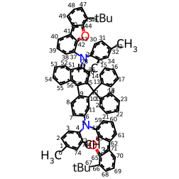 Cc1ccc(N(c2ccc3c(c2)C(c2ccccc2)(c2ccccc2)c2cc(N(c4ccc(C)cc4C)c4cccc5c4oc4c(C(C)(C)C)cccc45)c4ccccc4c2-3)c2cccc3c2oc2c(C(C)(C)C)cccc23)c(C)c1